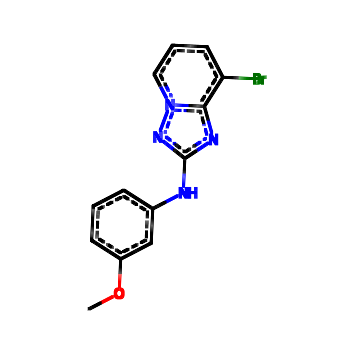 COc1cccc(Nc2nc3c(Br)cccn3n2)c1